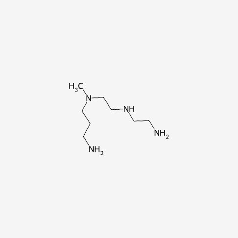 CN(CCCN)CCNCCN